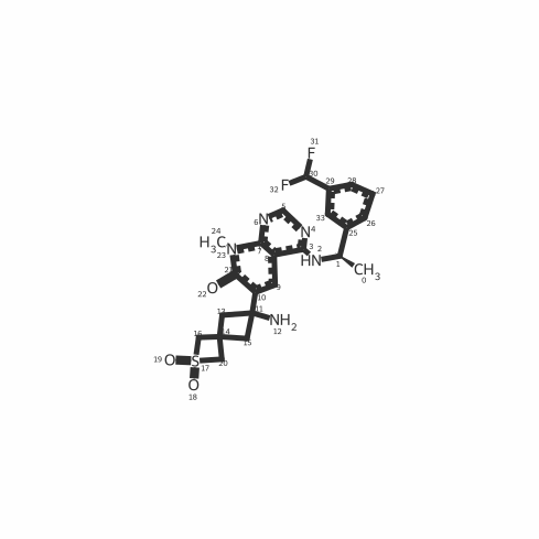 C[C@@H](Nc1ncnc2c1cc(C1(N)CC3(C1)CS(=O)(=O)C3)c(=O)n2C)c1cccc(C(F)F)c1